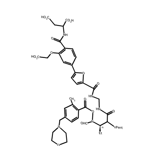 CCCCCC(C(=O)NCNC(=O)c1ccc(-c2ccc(C(=O)NC(CC(=O)O)C(=O)O)c(OCC(=O)O)c2)o1)[C@@H](CC)N(C=O)OC(=O)c1ccc(CN2CCOCC2)cc1C